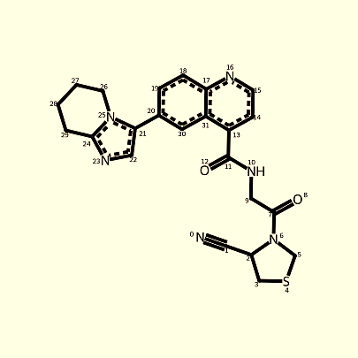 N#CC1CSCN1C(=O)CNC(=O)c1ccnc2ccc(-c3cnc4n3CCCC4)cc12